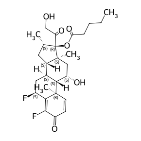 CCCCC(=O)O[C@]1(C(=O)CO)[C@@H](C)C[C@H]2[C@@H]3C[C@H](F)C4=C(F)C(=O)C=C[C@]4(C)[C@H]3[C@@H](O)C[C@@]21C